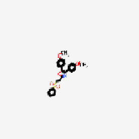 COc1ccc(-c2nc(CCS(=O)(=O)c3ccccc3)oc2-c2ccc(OC)cc2)cc1